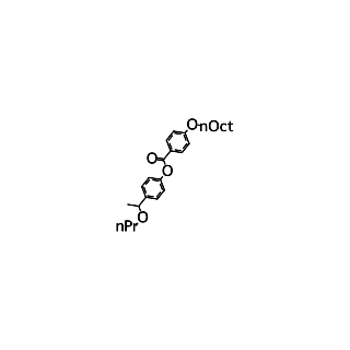 CCCCCCCCOc1ccc(C(=O)Oc2ccc(C(C)OCCC)cc2)cc1